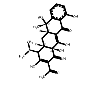 CN(C)C1C(O)=C(C(N)=O)C(=N)[C@@]2(O)C(O)=C3C(=O)c4c(O)cccc4[C@@](C)(O)[C@H]3C[C@@H]12